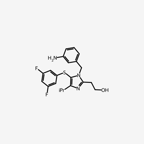 CC(C)c1nc(CCO)n(Cc2cccc(N)c2)c1Sc1cc(F)cc(F)c1